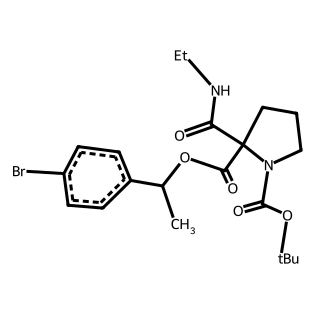 CCNC(=O)C1(C(=O)OC(C)c2ccc(Br)cc2)CCCN1C(=O)OC(C)(C)C